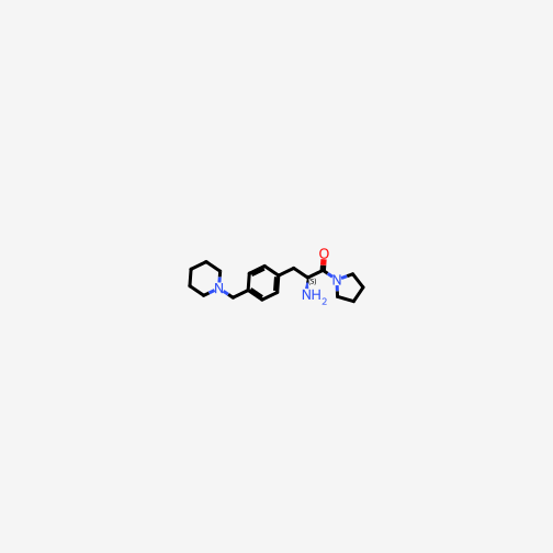 N[C@@H](Cc1ccc(CN2CCCCC2)cc1)C(=O)N1CCCC1